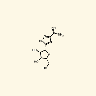 N=C(N)c1n[nH]c([C@@H]2O[C@H](CO)[C@@H](O)[C@H]2O)n1